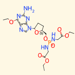 CCOC(=O)CNP(=O)(NCC(=O)OCC)OC[C@@H]1CCC(n2cnc3c(OCC)nc(N)nc32)O1